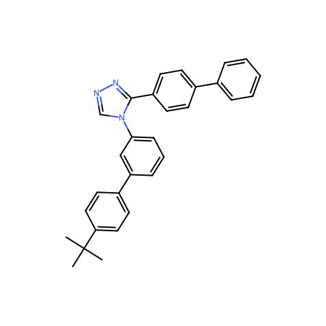 CC(C)(C)c1ccc(-c2cccc(-n3cnnc3-c3ccc(-c4ccccc4)cc3)c2)cc1